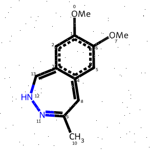 COc1cc2c(cc1OC)=CC(C)=NNC=2